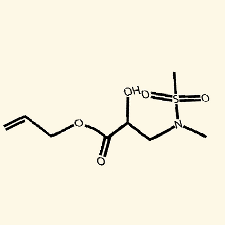 C=CCOC(=O)C(O)CN(C)S(C)(=O)=O